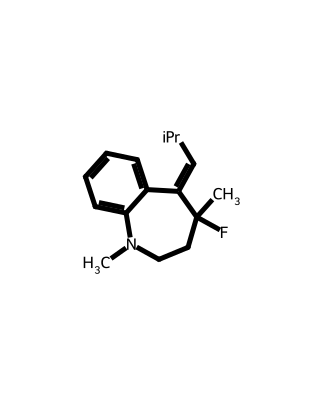 CC(C)/C=C1\c2ccccc2N(C)CCC1(C)F